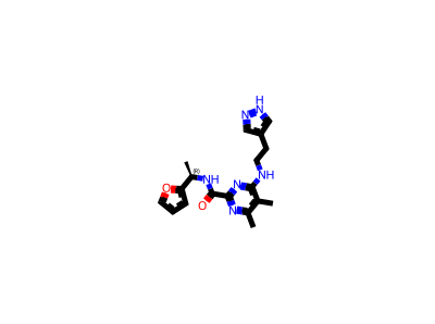 Cc1nc(C(=O)N[C@H](C)c2ccco2)nc(NCCc2cn[nH]c2)c1C